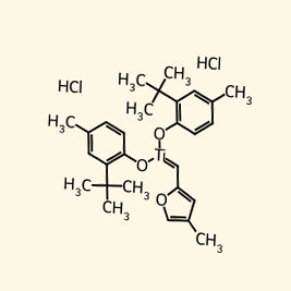 Cc1coc([CH]=[Ti]([O]c2ccc(C)cc2C(C)(C)C)[O]c2ccc(C)cc2C(C)(C)C)c1.Cl.Cl